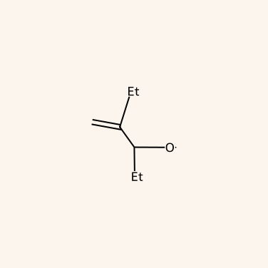 C=C(CC)C([O])CC